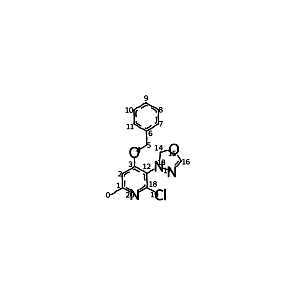 Cc1cc(OCc2ccccc2)c(N2COC=N2)c(Cl)n1